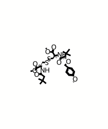 COC(=O)[C@H](CSSC[C@H](NC(=O)[C@@H](OCc1ccc(OC)cc1)C(C)(C)C)C(=O)OC)NC(=O)CC(C)(C)C